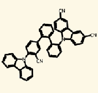 N#Cc1ccc2c(c1)c1cc(C#N)ccc1n2-c1ccccc1-c1ccccc1-c1ccc(-n2c3ccccc3c3ccccc32)c(C#N)c1